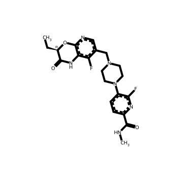 CC[C@H]1Oc2ncc(CN3CCN(c4ccc(C(=O)NC)nc4F)CC3)c(F)c2NC1=O